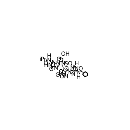 CC(C)C(=O)Nc1nc2c(ncn2[C@@H]2O[C@H](CO)C[C@H]2N(C[C@H]2O[C@@H](n3cnc4c(NC(=O)c5ccccc5)ncnc43)C[C@@H]2O[PH](=O)O)S(=O)(=O)O)c(=O)[nH]1